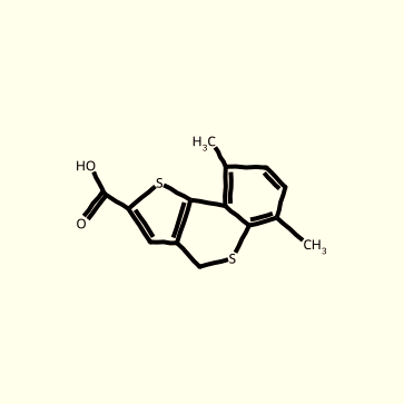 Cc1ccc(C)c2c1SCc1cc(C(=O)O)sc1-2